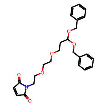 O=C1C=CC(=O)N1CCOCCOCCC(OCc1ccccc1)OCc1ccccc1